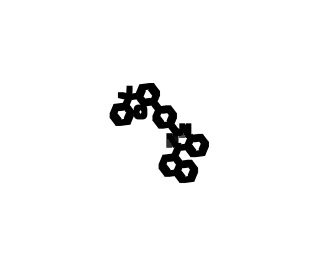 CC1(C)c2ccccc2Oc2c(-c3ccc(-c4nc(-c5cccc6ccccc56)c5ccccc5n4)cc3)cccc21